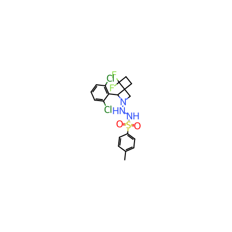 Cc1ccc(S(=O)(=O)NNN2CC3(CCC3(F)F)C2c2c(Cl)cccc2Cl)cc1